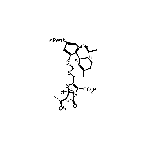 C=C(C)[C@@H]1CCC(C)=C[C@H]1c1c(O)cc(CCCCC)cc1OCSCC1=C(C(=O)O)N2C(=O)[C@H]([C@@H](C)O)[C@H]2S1